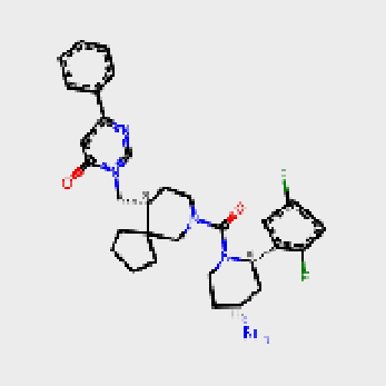 N[C@@H]1CCN(C(=O)N2CC[C@@H](Cn3cnc(-c4ccccc4)cc3=O)C3(CCCC3)C2)[C@H](c2cc(F)ccc2F)C1